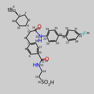 CC(C)(C)[C@H]1CC[C@H](C(Cc2ccc(C(=O)NCCS(=O)(=O)O)cc2)C(=O)Nc2ccc(-c3ccc(F)cc3)cc2)CC1